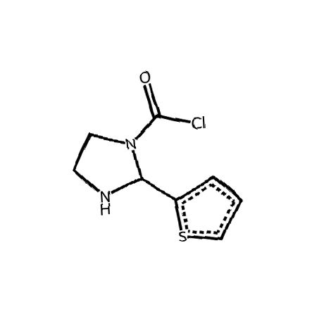 O=C(Cl)N1CCNC1c1cccs1